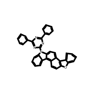 c1ccc(-c2nc(-c3ccccc3)nc(-n3c4ccccc4c4c5ccc6oc7ccccc7c6c5ccc43)n2)cc1